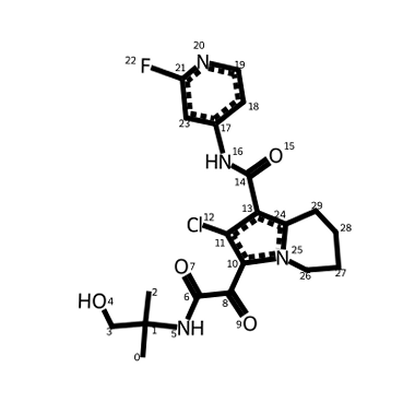 CC(C)(CO)NC(=O)C(=O)c1c(Cl)c(C(=O)Nc2ccnc(F)c2)c2n1CCCC2